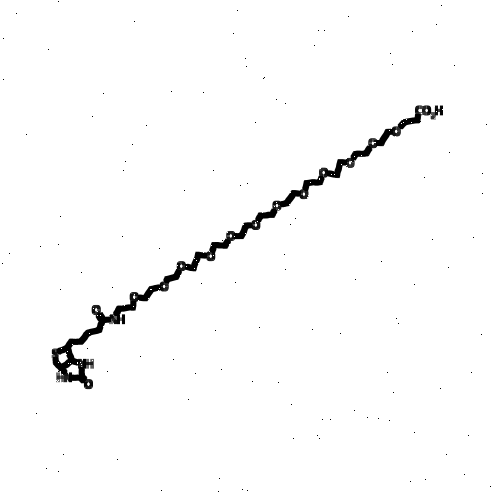 O=C(O)CCOCCOCCOCCOCCOCCOCCOCCOCCOCCOCCOCCOCCNC(=O)CCCCC1SCC2NC(=O)NC21